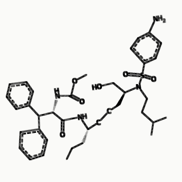 CCC[C@@H](CCC[C@@H](CO)N(CCC(C)C)S(=O)(=O)c1ccc(N)cc1)NC(=O)[C@@H](NC(=O)OC)C(c1ccccc1)c1ccccc1